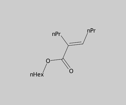 CCC/C=C(\CCC)C(=O)OCCCCCC